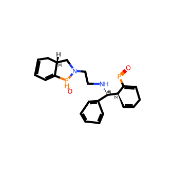 O=PC1=CCC=C[C@H]1[C@@H](NCCN1C[C@H]2CC=CC=C2[PH]1=O)c1ccccc1